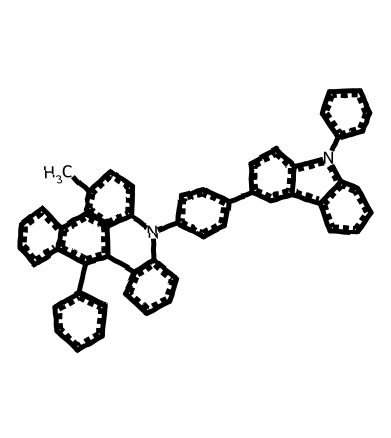 Cc1ccc(N(c2ccc(-c3ccc4c(c3)c3ccccc3n4-c3ccccc3)cc2)c2ccccc2-c2ccc3ccccc3c2-c2ccccc2)cc1